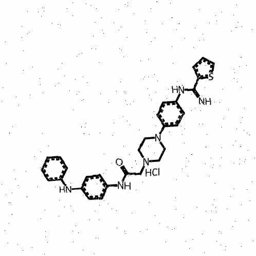 Cl.N=C(Nc1ccc(N2CCN(CC(=O)Nc3ccc(Nc4ccccc4)cc3)CC2)cc1)c1cccs1